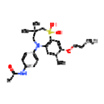 CCCCC1(CCCC)CN(c2ccc(NC(=O)C(C)C)cc2)c2cc(SC)c(O/C=C/C(=O)OCC)cc2S(O)(O)C1